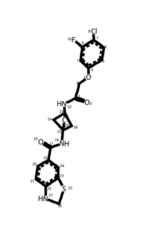 O=C(COc1ccc(Cl)c(F)c1)NC12CC(NC(=O)c3ccc4c(c3)SCN4)(C1)C2